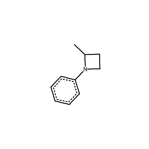 CC1CCN1c1c[c]ccc1